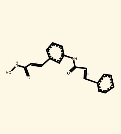 O=C(/C=C/c1cccc(NC(=O)/C=C/c2ccccc2)c1)NO